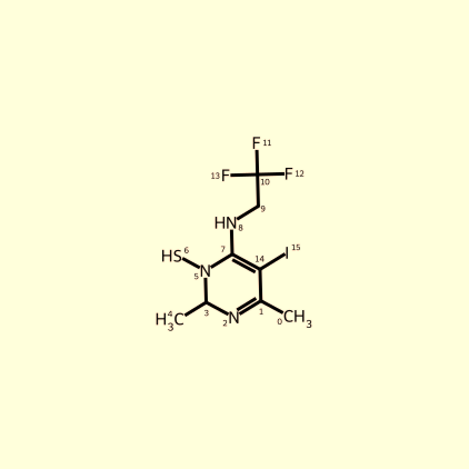 CC1=NC(C)N(S)C(NCC(F)(F)F)=C1I